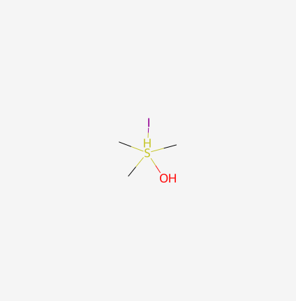 C[SH](C)(C)(O)I